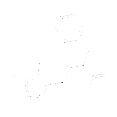 COC(=O)C(Cc1ccccc1)NC(=O)c1snc(Cl)c1Cl